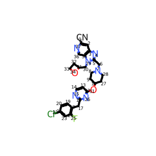 N#Cc1cc2nc(CN3CCC(Oc4ccnc(Cc5ccc(Cl)cc5F)n4)CC3)n(CC3CCO3)c2cn1